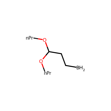 BCCC(OCCC)OCCC